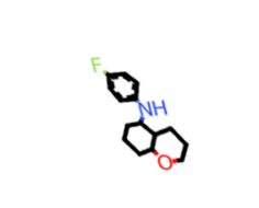 Fc1ccc(NC2CCCC3OCCCC23)cc1